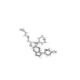 N#Cc1ccc(-n2cnc3cc(OCCOCCO)c(NC4CCOCC4)nc32)nc1